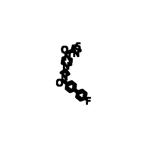 O=C(c1ccc(-c2ccc(F)cc2)cc1)N1CC(N2CCN(C(=O)c3cscn3)CC2)C1